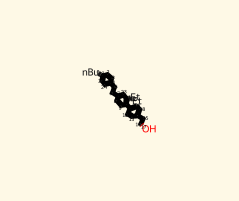 CCCCc1ccc(CCc2ccc(-c3ccc(CCO)cc3CC)c(CC)c2)cc1